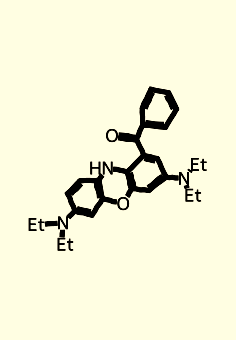 CCN(CC)c1ccc2c(c1)Oc1cc(N(CC)CC)cc(C(=O)c3ccccc3)c1N2